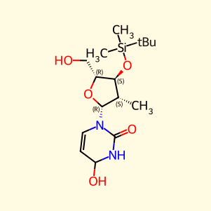 C[C@H]1[C@H](O[Si](C)(C)C(C)(C)C)[C@@H](CO)O[C@H]1N1C=CC(O)NC1=O